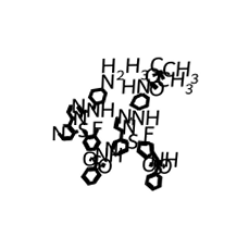 CC(C)(C)OC(=O)NC1CCC(Nc2nccc(-c3cnccc3Sc3ccc(NS(=O)(=O)c4ccccc4)cc3F)n2)CC1.NC1CCC(Nc2nccc(-c3cnccc3Sc3ccc(NS(=O)(=O)c4ccccc4)cc3F)n2)CC1